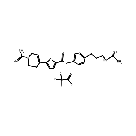 N=C(N)NCCCc1ccc(NC(=O)c2ccc(C3=CCN(C(=N)N)CC3)s2)cc1.O=C(O)C(F)(F)F